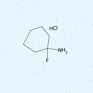 Cl.NC1(F)CCCCC1